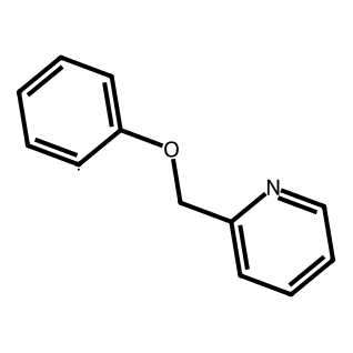 [c]1ccccc1OCc1ccccn1